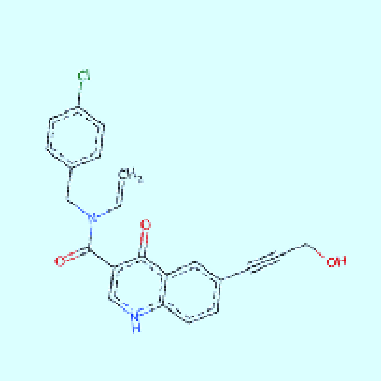 C=CN(Cc1ccc(Cl)cc1)C(=O)c1c[nH]c2ccc(C#CCO)cc2c1=O